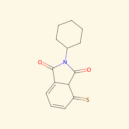 O=C1C2=CC=CC(=S)C2C(=O)N1C1CCCCC1